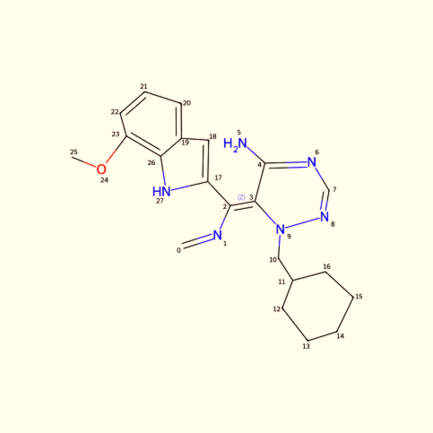 C=N/C(=C1/C(N)=NC=NN1CC1CCCCC1)c1cc2cccc(OC)c2[nH]1